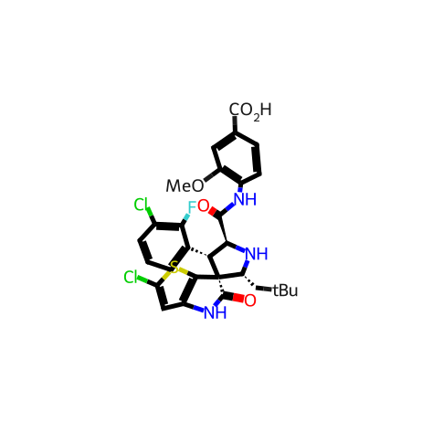 COc1cc(C(=O)O)ccc1NC(=O)[C@H]1N[C@H](CC(C)(C)C)[C@]2(C(=O)Nc3cc(Cl)sc32)[C@@H]1c1cccc(Cl)c1F